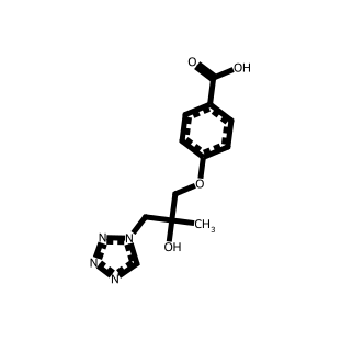 CC(O)(COc1ccc(C(=O)O)cc1)Cn1cnnn1